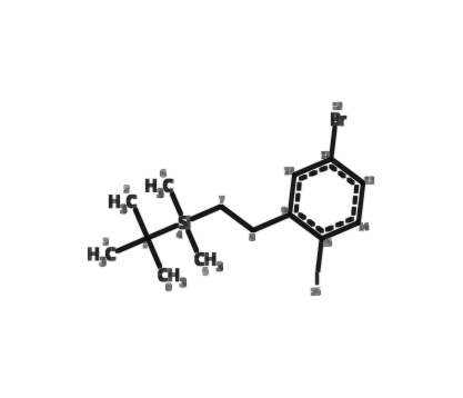 CC(C)(C)[Si](C)(C)CCc1cc(Br)ccc1I